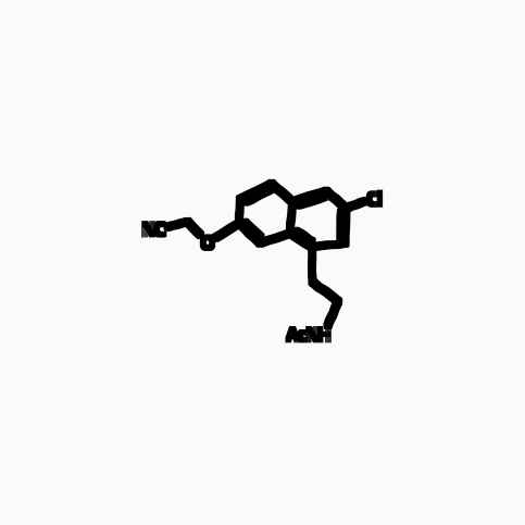 CC(=O)NCCc1cc(Cl)cc2ccc(OCC#N)cc12